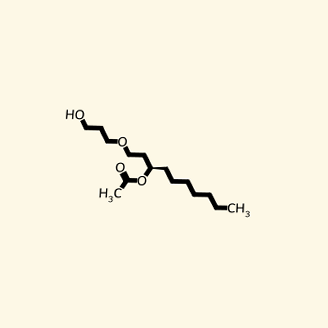 CCCCCCC[C@H](CCOCCCO)OC(C)=O